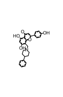 O=c1cc(-c2ccc(O)cc2)oc2c(CN3CCC(c4ccccc4)CC3)c(O)cc(O)c12